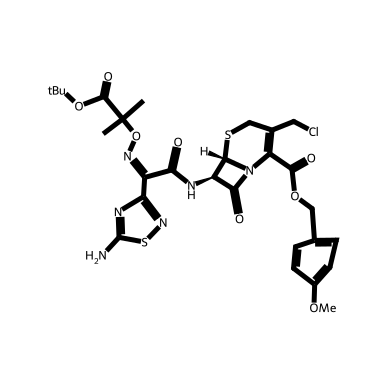 COc1ccc(COC(=O)C2=C(CCl)CS[C@H]3[C@H](NC(=O)/C(=N\OC(C)(C)C(=O)OC(C)(C)C)c4nsc(N)n4)C(=O)N23)cc1